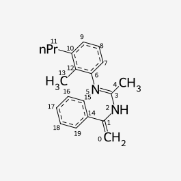 C=C(N/C(C)=N/c1cccc(CCC)c1C)c1ccccc1